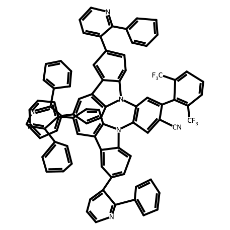 N#Cc1cc(-n2c3ccc(-c4cccnc4-c4ccccc4)cc3c3cc(-c4cccnc4-c4ccccc4)ccc32)c(-n2c3ccc(-c4cccnc4-c4ccccc4)cc3c3cc(-c4cccnc4-c4ccccc4)ccc32)cc1-c1c(C(F)(F)F)cccc1C(F)(F)F